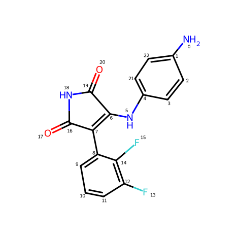 Nc1ccc(NC2=C(c3cccc(F)c3F)C(=O)NC2=O)cc1